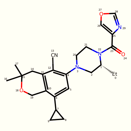 CC[C@@H]1CN(c2cc(C3CC3)c3c(c2C#N)CC(C)(C)OC3)CCN1C(=O)c1cocn1